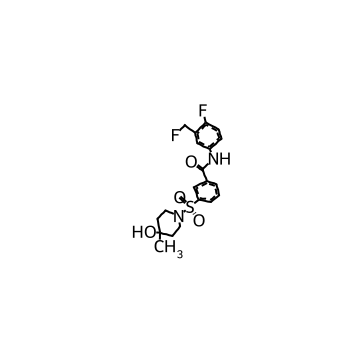 CC1(O)CCN(S(=O)(=O)c2cccc(C(=O)Nc3ccc(F)c(CF)c3)c2)CC1